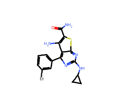 CCc1cccc(-c2nc(NC3CC3)nc3sc(C(N)=O)c(N)c23)c1